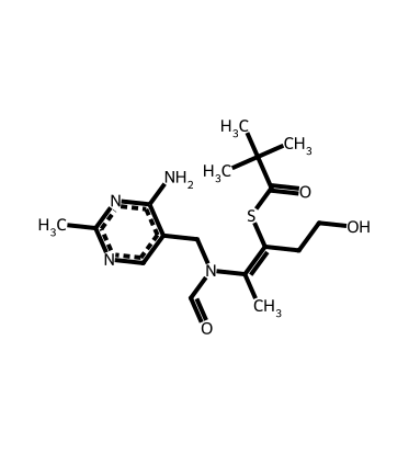 CC(=C(CCO)SC(=O)C(C)(C)C)N(C=O)Cc1cnc(C)nc1N